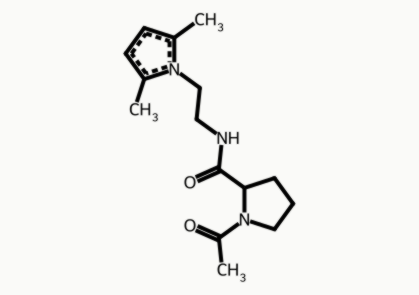 CC(=O)N1CCCC1C(=O)NCCn1c(C)ccc1C